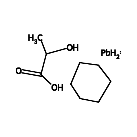 C1CCCCC1.CC(O)C(=O)O.[PbH2]